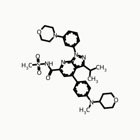 CC(C)c1nn(-c2cccc(N3CCOCC3)c2)c2nc(C(=O)NS(C)(=O)=O)cc(-c3ccc(N(C)C4CCOCC4)cc3)c12